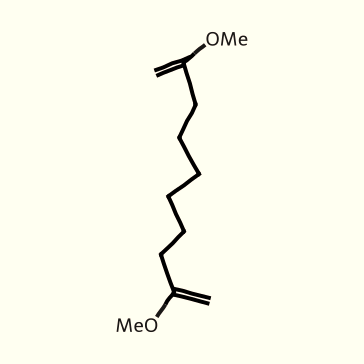 C=C(CCCCCCC(=C)OC)OC